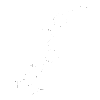 CNc1nc2[nH]c(-c3cccc(COC(=O)N4CCN(CCOC)CC4)c3)cc2c2c1ncn2C